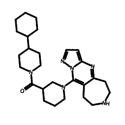 O=C(C1CCCN(c2c3c(nc4ccnn24)CCNCC3)C1)N1CCC(C2CCCCC2)CC1